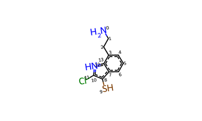 NCCc1cccc2c(S)c(Cl)[nH]c12